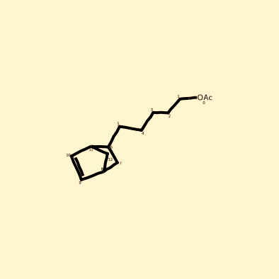 CC(=O)OCCCCCC1CC2C=CC1C2